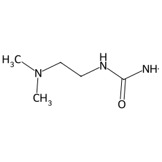 CN(C)CCNC([NH])=O